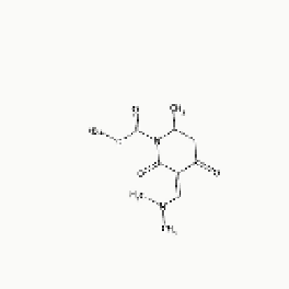 CC1CC(=O)C(=CN(C)C)C(=O)N1C(=O)OC(C)(C)C